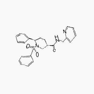 O=C(NCc1ccccn1)[C@@H]1CC[C@H](c2ccccc2)N(S(=O)(=O)c2ccccc2)C1